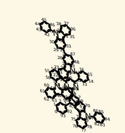 c1ccc(-c2cccc(-c3nc(-c4ccccc4-n4c5ccccc5c5cc(-c6ccc7c(c6)c6ccccc6n7-c6ccccc6)ccc54)cc(-c4ccccc4-n4c5ccccc5c5cc(-c6ccc7c(c6)c6ccccc6n7-c6ccccc6)ccc54)n3)c2)cc1